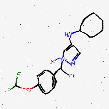 CCC(c1ccc(OC(F)F)cc1)[N+]1(CC)C=C(NC2CCCCC2)C=N1